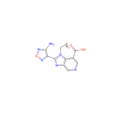 CCn1c(-c2nonc2N)nc2cncc(C(=O)O)c21